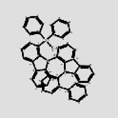 CC(C)(C)[Si](c1ccccc1)(c1ccccc1)c1cccc2c3ccccc3n(-c3cccc4c5ccccc5n(-c5ccccc5-c5ccccc5)c34)c12